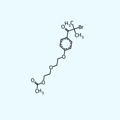 CC(=O)OCCOCCOc1ccc(C(=O)C(C)(C)Br)cc1